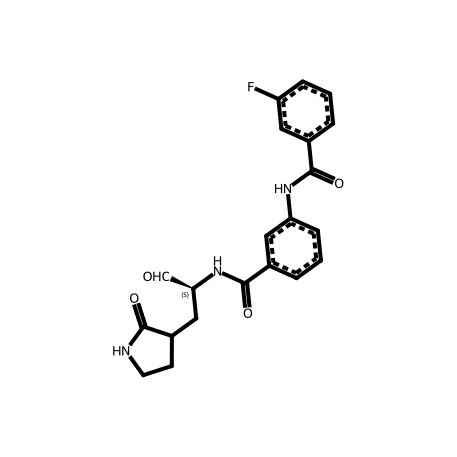 O=C[C@H](CC1CCNC1=O)NC(=O)c1cccc(NC(=O)c2cccc(F)c2)c1